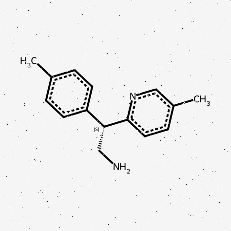 Cc1ccc([C@@H](CN)c2ccc(C)cn2)cc1